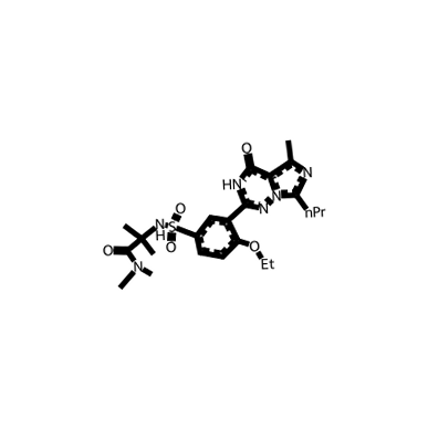 CCCc1nc(C)c2c(=O)[nH]c(-c3cc(S(=O)(=O)NC(C)(C)C(=O)N(C)C)ccc3OCC)nn12